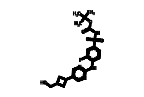 CC(C)(C)OC(=O)NS(=O)(=O)c1ccc(Nc2ncc(C3CC(CO)C3)cn2)c(F)c1